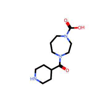 O=C(O)N1CCCN(C(=O)C2CCNCC2)CC1